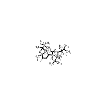 CC(C)C(C)(C)[SiH](C)OC(C)[Si](C)(CC[C@H](C)[Si](C)(C)OC(C)(C)[Si](C)(C)C)O[Si](C)(C)C